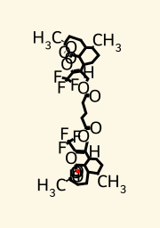 C[C@@H]1CC[C@H]2C(COC(=O)CCCC(=O)OCC3=C(C(F)(F)F)O[C@@H]4O[C@]5(C)CCC6[C@H](C)CC[C@@H]3[C@]64OO5)=C(C(F)(F)F)OC3O[C@]4(C)CCC1[C@]32OO4